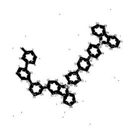 Cc1cccc(-c2cccc(-c3cccc(-c4ccc5c(c4)c4ccccc4n5-c4ccc(-c5ccc(-c6ccc(-n7c8ccccc8c8ccccc87)cc6)cc5)cc4)c3)c2)c1